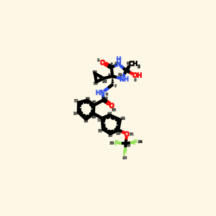 CC1(O)NC(=O)[C@](CNC(=O)c2ccccc2-c2ccc(OC(F)(F)F)cc2)(C2CC2)N1